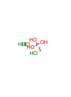 Cl.Cl.Cl.OP(O)(O)=S